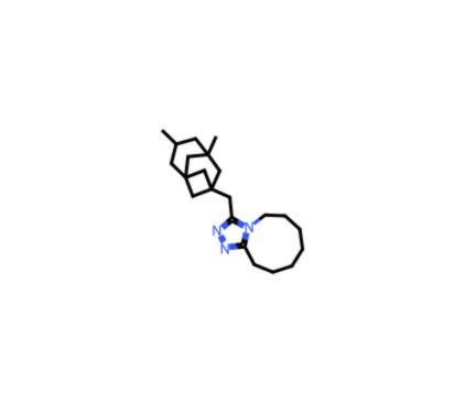 CC1CC2(C)CC3(Cc4nnc5n4CCCCCCC5)CC(C1)(C2)C3